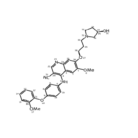 COc1cc2c(Nc3ccc(Oc4ccccc4OC)cc3)c(C#N)cnc2cc1OCCCN1CC[C@@H](O)C1